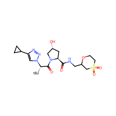 CC(C)(C)[C@@H](C(=O)N1C[C@H](O)C[C@H]1C(=O)NCC1CS(=O)(=O)CCO1)n1cc(C2CC2)nn1